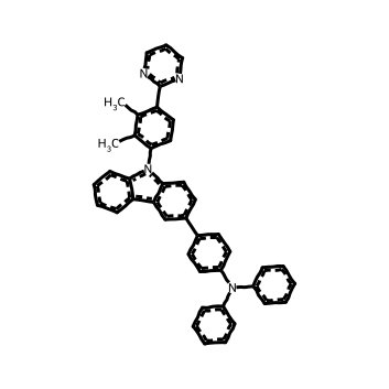 Cc1c(-c2ncccn2)ccc(-n2c3ccccc3c3cc(-c4ccc(N(c5ccccc5)c5ccccc5)cc4)ccc32)c1C